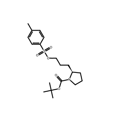 Cc1ccc(S(=O)(=O)OCCC[C@H]2CCCN2C(=O)OC(C)(C)C)cc1